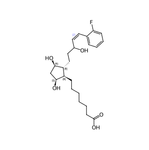 O=C(O)CCCCCC[C@@H]1[C@@H](CCC(O)/C=C\c2ccccc2F)[C@H](O)C[C@@H]1O